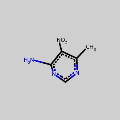 Cc1ncnc(N)c1[N+](=O)[O-]